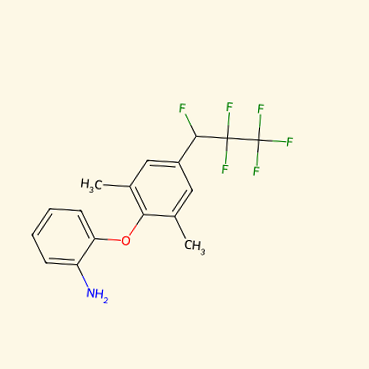 Cc1cc(C(F)C(F)(F)C(F)(F)F)cc(C)c1Oc1ccccc1N